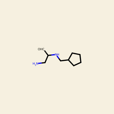 NCC(C=O)NCC1CCCC1